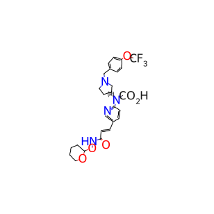 O=C(C=Cc1ccc(N(C(=O)O)[C@@H]2CCN(Cc3ccc(OC(F)(F)F)cc3)C2)nc1)NOC1CCCCO1